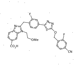 COCCn1c(Cc2ccc(-c3nnc(OCc4ccc(C#N)cc4F)s3)cc2F)nc2ccc(C(=O)O)cc21